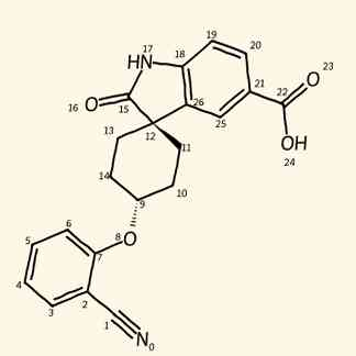 N#Cc1ccccc1O[C@H]1CC[C@@]2(CC1)C(=O)Nc1ccc(C(=O)O)cc12